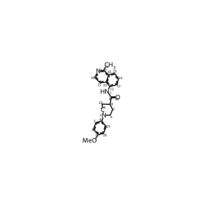 COc1ccc(N2CCC(C(=O)Nc3cccc4c(C)nccc34)CC2)cc1